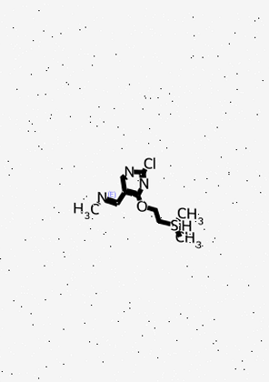 C/N=C/c1cnc(Cl)nc1OCC[SiH](C)C